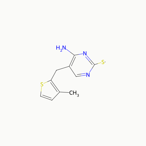 Cc1ccsc1Cc1cnc([S])nc1N